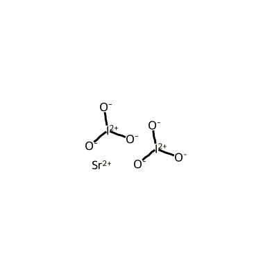 [O-][I+2]([O-])[O-].[O-][I+2]([O-])[O-].[Sr+2]